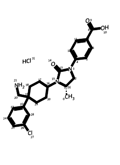 C[C@H]1CN(c2ccc(C(=O)O)cc2)C(=O)N1C1CCC(CN)(c2cccc(Cl)c2)CC1.Cl